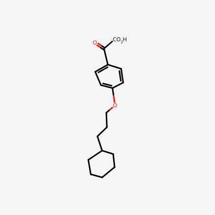 O=C(O)C(=O)c1ccc(OCCCC2CCCCC2)cc1